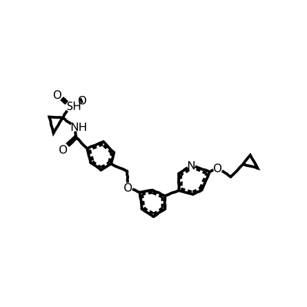 O=C(NC1([SH](=O)=O)CC1)c1ccc(COc2cccc(-c3ccc(OCC4CC4)nc3)c2)cc1